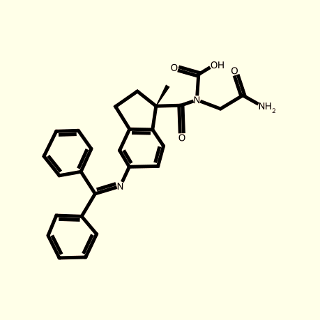 C[C@]1(C(=O)N(CC(N)=O)C(=O)O)CCc2cc(N=C(c3ccccc3)c3ccccc3)ccc21